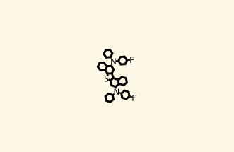 Fc1ccc(N(c2ccccc2)c2cc3c(sc4cc(N(c5ccccc5)c5ccc(F)cc5)c5ccccc5c43)c3ccccc23)cc1